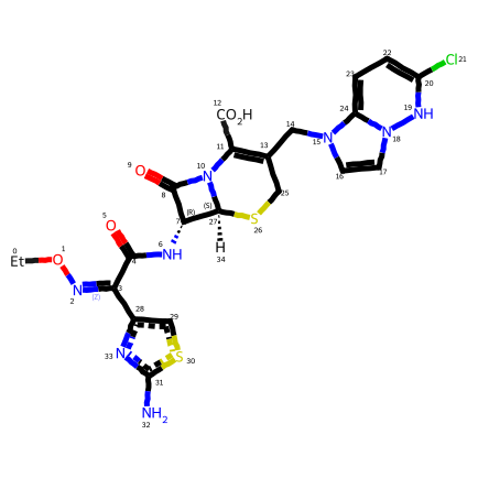 CCO/N=C(\C(=O)N[C@@H]1C(=O)N2C(C(=O)O)=C(CN3C=CN4NC(Cl)=CC=C34)CS[C@@H]12)c1csc(N)n1